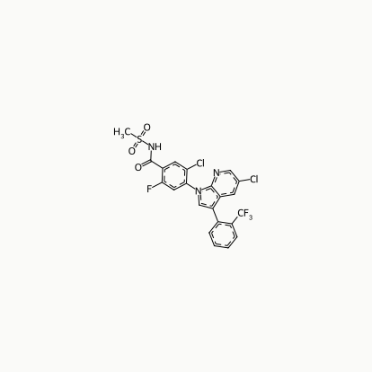 CS(=O)(=O)NC(=O)c1cc(Cl)c(-n2cc(-c3ccccc3C(F)(F)F)c3cc(Cl)cnc32)cc1F